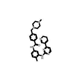 Cc1ccc(NC(=O)c2ccc(CN3CCN(C)CC3)cc2)cc1Nc1nccc(C2=CCCN=C2)n1